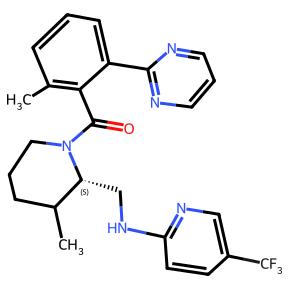 Cc1cccc(-c2ncccn2)c1C(=O)N1CCCC(C)[C@H]1CNc1ccc(C(F)(F)F)cn1